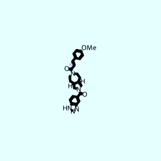 COc1ccc(/C=C/C(=O)N2CC[C@@H]3CN(C(=O)c4ccc5[nH]nnc5c4)C[C@@H]3CC2)cc1